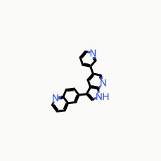 c1cncc(-c2cnc3[nH]cc(-c4ccc5ncccc5c4)c3c2)c1